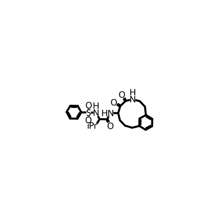 CC(C)C(NS(=O)(=O)c1ccccc1)C(=O)NC1CCCc2cccc(c2)CCNC(=O)C1=O